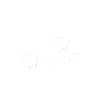 CCOC(=O)ON1c2ccc(C(F)(F)F)cc2[C@@H](N(Cc2cc(C(F)(F)F)cc(C(F)(F)F)c2)C(C)=O)C[C@H]1C